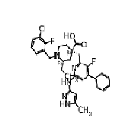 CC[C@@H]1C[C@](Cc2nc(Nc3cc(C)[nH]n3)cc(-c3ccccc3)c2F)(C(=O)O)CCN1Cc1cccc(Cl)c1F